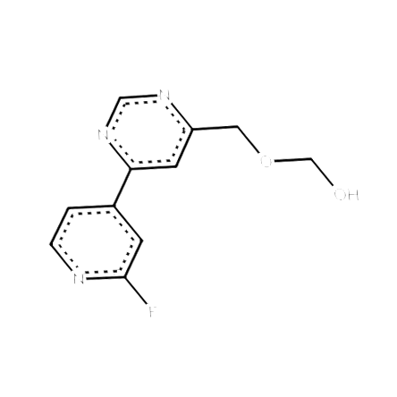 OCOCc1cc(-c2ccnc(F)c2)ncn1